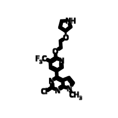 Cn1ccc2c(-c3cnc(OCCO[C@@H]4CCNC4)c(C(F)(F)F)c3)nc(Cl)nc21